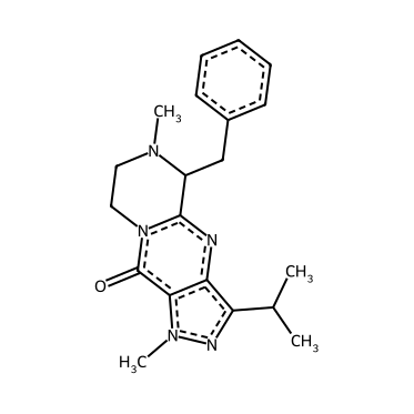 CC(C)c1nn(C)c2c(=O)n3c(nc12)C(Cc1ccccc1)N(C)CC3